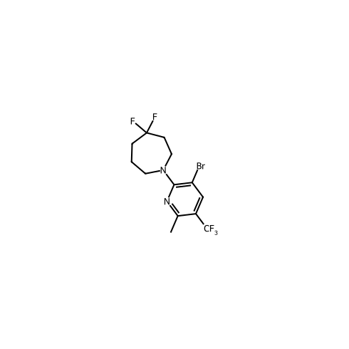 Cc1nc(N2CCCC(F)(F)CC2)c(Br)cc1C(F)(F)F